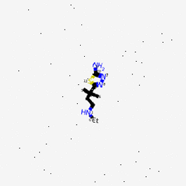 CCNCCC(C)(C)c1nnc(N)s1